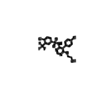 O=S(=O)(Nc1ncnc(OCCO)c1-c1ccc(Cl)cc1)c1ccc(Cl)c(C(F)(F)F)c1